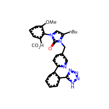 CCCCc1cn(-c2c(OC)cccc2C(=O)O)c(=O)n1Cc1ccc(-c2ccccc2-c2nnn[nH]2)nc1